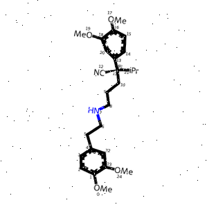 COc1ccc(CCNCCC[C@](C#N)(c2ccc(OC)c(OC)c2)C(C)C)cc1OC